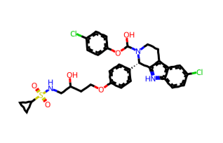 O=S(=O)(NCC(O)CCOc1ccc([C@H]2c3[nH]c4ccc(Cl)cc4c3CCN2C(O)Oc2ccc(Cl)cc2)cc1)C1CC1